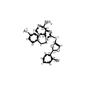 CC(=O)c1ccc(CCn2c(SC3=COC(c4ccccc4Br)O3)nc3c(N)ncnc32)cc1